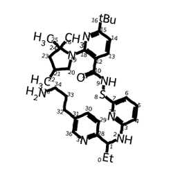 CCC(Nc1cccc(SNC(=O)c2ccc(C(C)(C)C)nc2N2CC(C)CC2(C)C)n1)c1ccc(CCCN)cn1